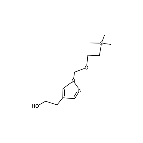 C[Si](C)(C)CCOCn1cc(CCO)cn1